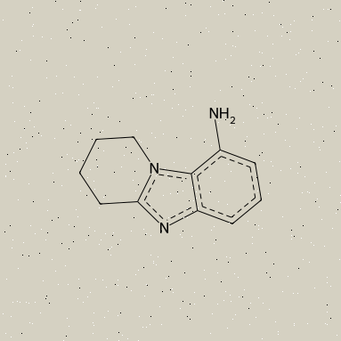 Nc1cccc2nc3n(c12)CCCC3